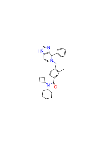 Cc1cc(C(=O)N(C2CCCCC2)C2CCC2)ccc1CN1C=Cc2[nH]cnc2C1c1ccccc1